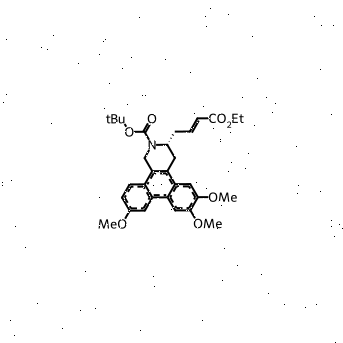 CCOC(=O)C=CC[C@@H]1Cc2c(c3ccc(OC)cc3c3cc(OC)c(OC)cc23)CN1C(=O)OC(C)(C)C